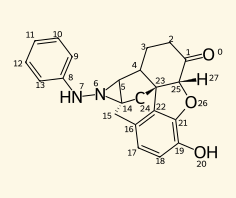 O=C1CCC2C3N(Nc4ccccc4)[C@@]34Cc3ccc(O)c5c3[C@@]2(C4)[C@H]1O5